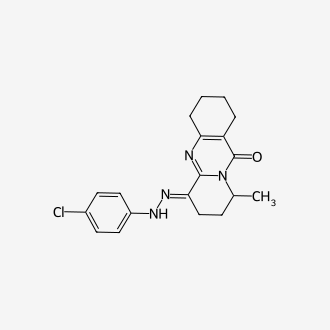 CC1CCC(=NNc2ccc(Cl)cc2)c2nc3c(c(=O)n21)CCCC3